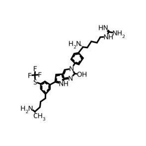 C[C@H](N)CCCc1cc(SC(F)(F)F)cc(-c2cc3c([nH]2)=NC(O)N(c2ccc([C@H](N)CCCCNC(=N)N)cc2)C=3)c1